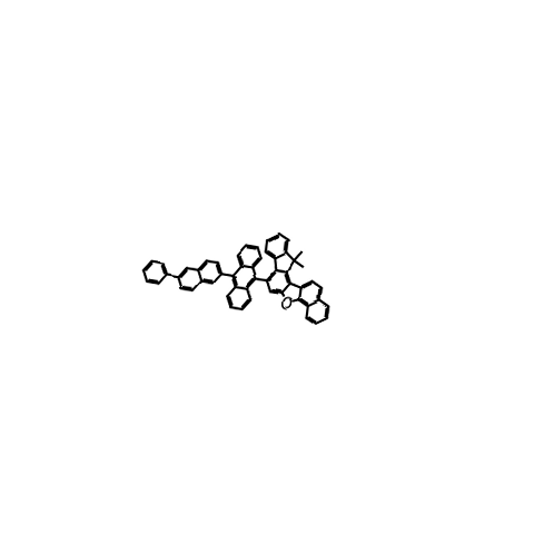 CC1(C)c2ccccc2-c2c(-c3c4ccccc4c(-c4ccc5cc(-c6ccccc6)ccc5c4)c4ccccc34)cc3oc4c5ccccc5ccc4c3c21